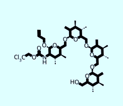 C=CCO[C@@H]1OC(CO[C@@H]2OC(CO[C@@H]3OC(CO[C@@H]4OC(CO)[C@@H](C)[C@H](C)C4C)[C@@H](C)[C@H](C)C3C)[C@@H](C)[C@H](C)C2C)[C@@H](C)[C@H](C)C1NC(=O)OCC(Cl)(Cl)Cl